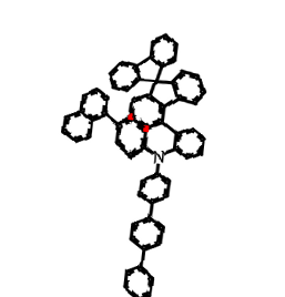 c1ccc(-c2ccc(-c3ccc(N(c4ccc(-c5cccc6ccccc56)cc4)c4ccccc4-c4cccc5c4-c4ccccc4C54c5ccccc5-c5ccccc54)cc3)cc2)cc1